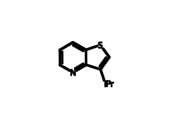 CC(C)c1csc2cccnc12